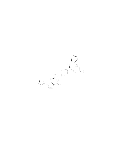 O=C([C@@H]1CCNC[C@H]1c1ccccc1)N1CCC(O)(Cn2cnc3c(ccn3-c3nccs3)c2=O)CC1